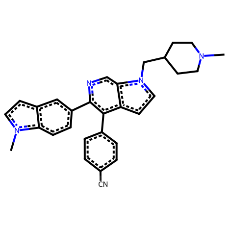 CN1CCC(Cn2ccc3c(-c4ccc(C#N)cc4)c(-c4ccc5c(ccn5C)c4)ncc32)CC1